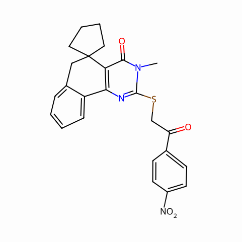 Cn1c(SCC(=O)c2ccc([N+](=O)[O-])cc2)nc2c(c1=O)C1(CCCC1)Cc1ccccc1-2